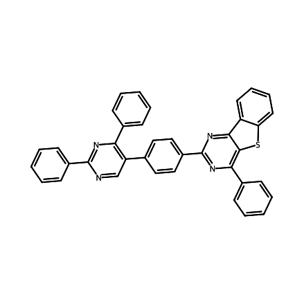 c1ccc(-c2ncc(-c3ccc(-c4nc(-c5ccccc5)c5sc6ccccc6c5n4)cc3)c(-c3ccccc3)n2)cc1